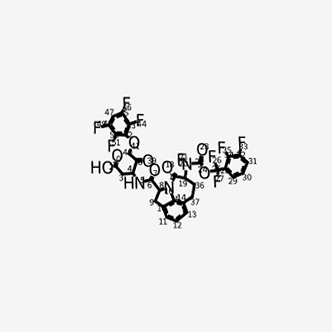 O=C(O)CC(NC(=O)C1Cc2cccc3c2N1C(=O)C(N(F)C(=O)OC(F)(F)c1cccc(F)c1F)CC3)C(=O)COc1c(F)c(F)cc(F)c1F